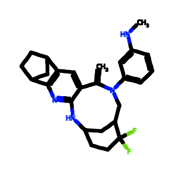 C=C1c2cc3c(nc2NC2CCC(F)(F)C(C2)CN1c1cccc(NC)c1)C1CCC3C1